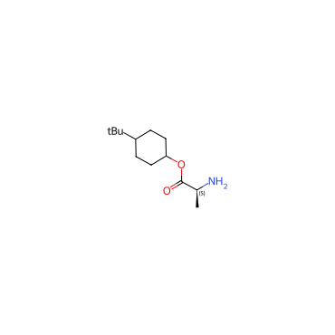 C[C@H](N)C(=O)OC1CCC(C(C)(C)C)CC1